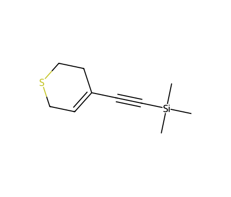 C[Si](C)(C)C#CC1=CCSCC1